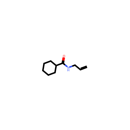 C=CCNC(=O)C1CCCCC1